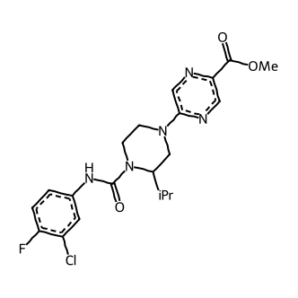 COC(=O)c1cnc(N2CCN(C(=O)Nc3ccc(F)c(Cl)c3)C(C(C)C)C2)cn1